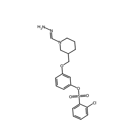 NN=CN1CCCC(COc2cccc(OS(=O)(=O)c3ccccc3Cl)c2)C1